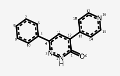 O=c1[nH]nc(-c2ccccc2)cc1-c1ccncc1